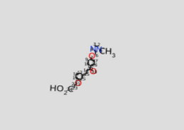 Cn1ccnc1COc1ccc(C(=O)/C=C/c2cccc(OCCC(=O)O)c2)cc1